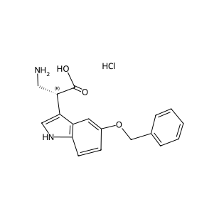 Cl.NC[C@H](C(=O)O)c1c[nH]c2ccc(OCc3ccccc3)cc12